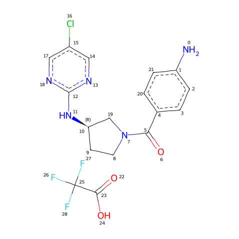 Nc1ccc(C(=O)N2CC[C@@H](Nc3ncc(Cl)cn3)C2)cc1.O=C(O)C(F)(F)F